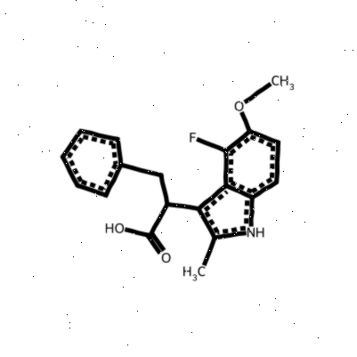 COc1ccc2[nH]c(C)c(C(Cc3ccccc3)C(=O)O)c2c1F